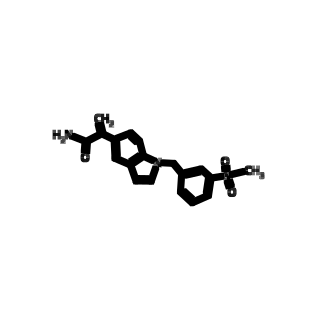 C=C(C(N)=O)c1ccc2c(ccn2Cc2cccc(S(C)(=O)=O)c2)c1